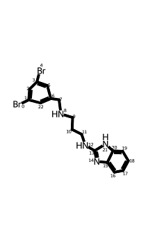 Brc1cc(Br)cc(CNCCCNc2nc3ccccc3[nH]2)c1